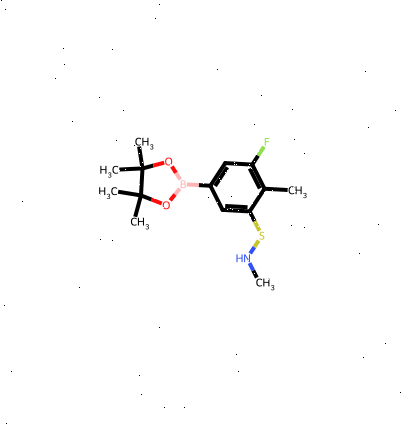 CNSc1cc(B2OC(C)(C)C(C)(C)O2)cc(F)c1C